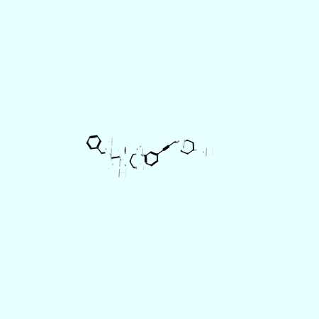 CN1C(=O)[C@@H](NC(=O)C(=O)NCc2ccccc2)COc2ccc(C#CCN3CCC(O)CC3)cc21